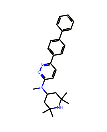 CN(c1ccc(-c2ccc(-c3ccccc3)cc2)nn1)C1CC(C)(C)NC(C)(C)C1